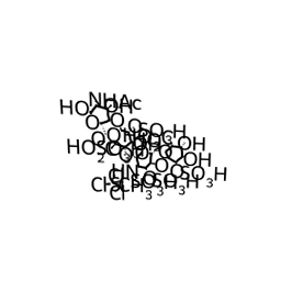 CC(=O)N[C@@H]1[C@@H](O)[C@H](O[C@@H]2O[C@H](C(=O)O)[C@@H](O[C@@H]3O[C@H](CO)[C@@H](O[C@H]4O[C@@H](C(=O)O)[C@H](O)[C@@H](O)[C@@H]4OS(=O)(=O)O)[C@H](OS(=O)(=O)O)[C@H]3NS(=O)(=O)O)[C@H](O)[C@H]2OS(=O)(=O)O)[C@H](COS(=O)(=O)O)O[C@H]1O.C[Si](Cl)(Cl)Cl